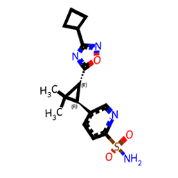 CC1(C)[C@H](c2ccc(S(N)(=O)=O)nc2)[C@H]1c1nc(C2CCC2)no1